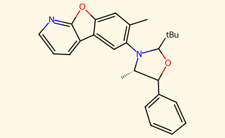 Cc1cc2oc3ncccc3c2cc1N1C(C(C)(C)C)OC(c2ccccc2)[C@@H]1C